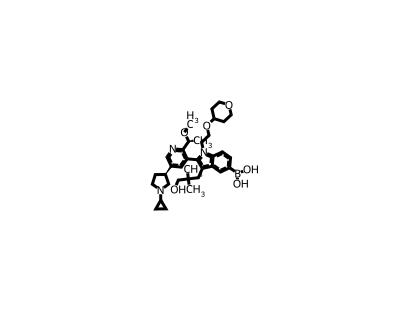 CO[C@@H](C)c1ncc([C@@H]2CCN(C3CC3)C2)cc1-c1c(CC(C)(C)CO)c2cc(B(O)O)ccc2n1CCOC1CCOCC1